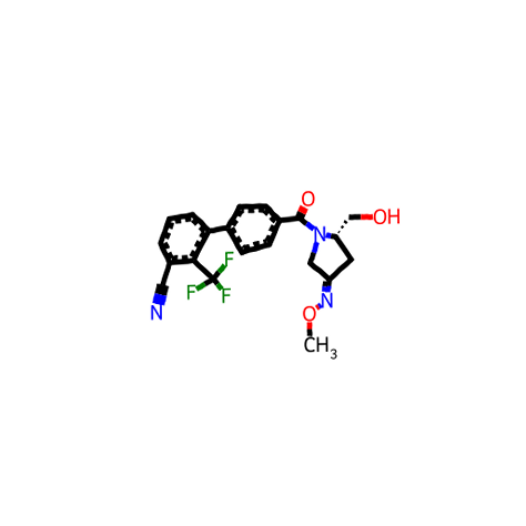 CO/N=C1/C[C@@H](CO)N(C(=O)c2ccc(-c3cccc(C#N)c3C(F)(F)F)cc2)C1